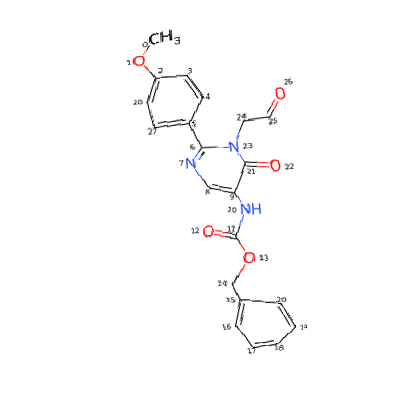 COc1ccc(-c2ncc(NC(=O)OCc3ccccc3)c(=O)n2CC=O)cc1